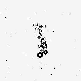 Cc1cnc(N(C)C2(c3ccccc3)CCC2)c(=O)n1CC(=O)NCCONC(=N)N